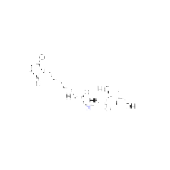 CC(C)(CO)C(O)C(=O)N/C=C\C(=O)NCCCCCN1C(=O)C=CC1=O